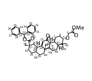 COC(=O)CO[C@H]1CC[C@]2(C)[C@H]3C(=O)C=C4[C@@H]5C[C@@](C)(C(=O)OC(c6ccccc6)c6ccccc6)CC[C@]5(C)CC[C@@]4(C)[C@]3(C)CC[C@H]2C1(C)C